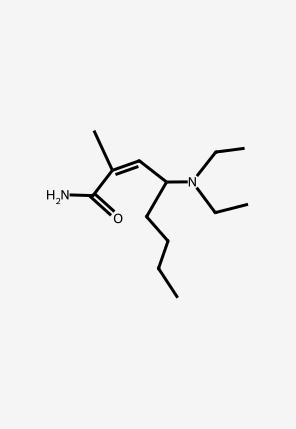 CCCCC(C=C(C)C(N)=O)N(CC)CC